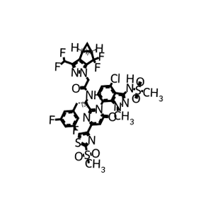 Cn1nc(NS(C)(=O)=O)c2c(Cl)ccc(-n3c([C@H](Cc4cc(F)cc(F)c4)NC(=O)Cn4nc(C(F)F)c5c4C(F)(F)[C@@H]4C[C@H]54)nc(-c4csc(S(C)(=O)=O)n4)cc3=O)c21